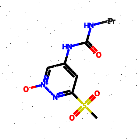 CC(C)NC(=O)Nc1cc(S(C)(=O)=O)n[n+]([O-])c1